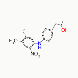 CC(O)Cc1ccc(Nc2cc(Cl)c(C(F)(F)F)cc2[N+](=O)[O-])cc1